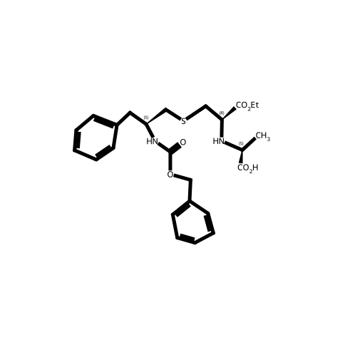 CCOC(=O)[C@H](CSC[C@H](Cc1ccccc1)NC(=O)OCc1ccccc1)N[C@@H](C)C(=O)O